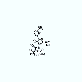 CCCON=C(C(=O)N[C@H]1C(=O)N(S(=O)(=O)[O-])[C@H]1C(=O)OC)c1csc(N)n1.[Na+]